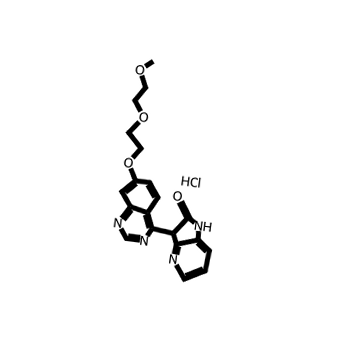 COCCOCCOc1ccc2c(C3C(=O)Nc4cccnc43)ncnc2c1.Cl